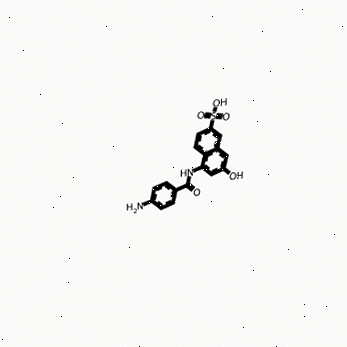 Nc1ccc(C(=O)Nc2cc(O)cc3cc(S(=O)(=O)O)ccc23)cc1